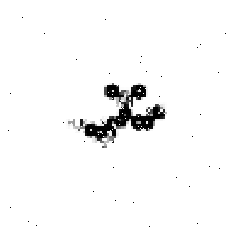 Bc1ccc2ccc3c(/C=C\N)c(CC4C=Cc5c(-c6ccc7ccc8c9ccncc9sc8c7c6)cc(C(/N=C(\N)c6ccccc6)=N/Cc6ccccc6)cc54)sc3c2c1